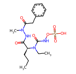 CCC[C@@H](C(=O)NN(C)C(=O)Cc1ccccc1)N(CC)C(=O)NOS(=O)(=O)O